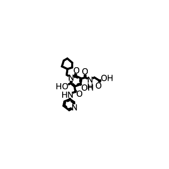 O=C(O)CNC(=O)c1c(O)c(C(=O)Nc2cccnc2)c(O)n(CC2CCCCC2)c1=O